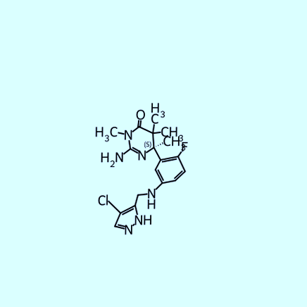 CN1C(=O)C(C)(C)[C@@](C)(c2cc(NCc3[nH]ncc3Cl)ccc2F)N=C1N